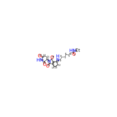 CCNC(=O)CCCCCCNc1cccc2c1C(=O)N(C1CCC(=O)NC1=O)C2=O